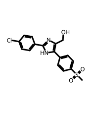 CS(=O)(=O)c1ccc(-c2[nH]c(-c3ccc(Cl)cc3)nc2CO)cc1